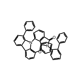 O=C1c2cccc(-n3c4c(-c5ccccc5)cccc4c4cccc(-c5ccccc5)c43)c2C(=O)N1c1ccccc1-c1ccccc1